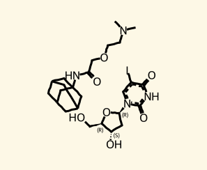 CN(C)CCOCC(=O)NC12CC3CC(CC(C3)C1)C2.O=c1[nH]c(=O)n([C@H]2C[C@H](O)[C@@H](CO)O2)cc1I